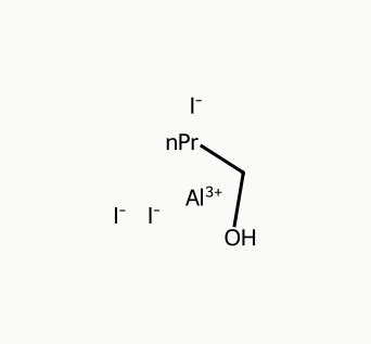 CCCCO.[Al+3].[I-].[I-].[I-]